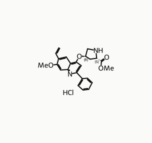 C=Cc1cc2c(O[C@H]3CN[C@H](C(=O)OC)C3)cc(-c3ccccc3)nc2cc1OC.Cl